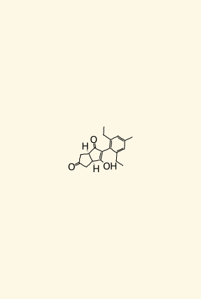 CCc1cc(C)cc(CC)c1C1=C(O)[C@H]2CC(=O)C[C@H]2C1=O